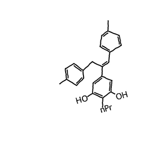 CCCc1c(O)cc(C(=Cc2ccc(C)cc2)Cc2ccc(C)cc2)cc1O